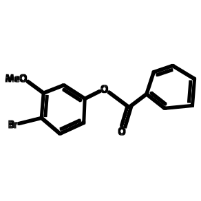 COc1cc(OC(=O)c2ccccc2)ccc1Br